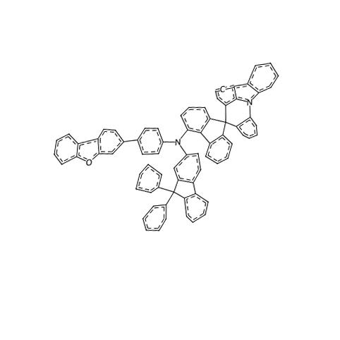 c1ccc(C2(c3ccccc3)c3ccccc3-c3ccc(N(c4ccc(-c5ccc6c(c5)oc5ccccc56)cc4)c4cccc5c4-c4ccccc4C54c5ccccc5-n5c6ccccc6c6cccc4c65)cc32)cc1